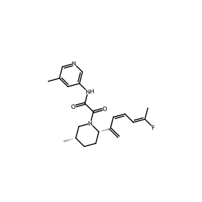 C=C(/C=C\C=C(/C)F)[C@@H]1CC[C@H](C)CN1C(=O)C(=O)Nc1cncc(C)c1